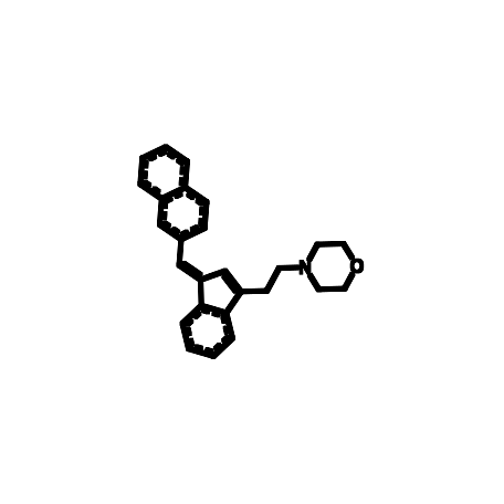 C1=C(CCN2CCOCC2)c2ccccc2/C1=C/c1ccc2ccccc2c1